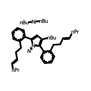 CCCC=CCCc1ccccc1C1=CC(CCCC)=C(c2ccccc2CCC=CCCC)[N+]1=[N-].CCC[CH2][Ni][CH2]CCC